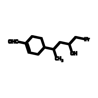 CC(C)CC(O)CC(C)C1CC=C(C=O)CC1